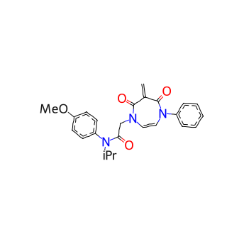 C=C1C(=O)N(CC(=O)N(c2ccc(OC)cc2)C(C)C)C=CN(c2ccccc2)C1=O